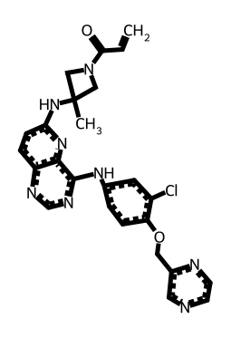 C=CC(=O)N1CC(C)(Nc2ccc3ncnc(Nc4ccc(OCc5cnccn5)c(Cl)c4)c3n2)C1